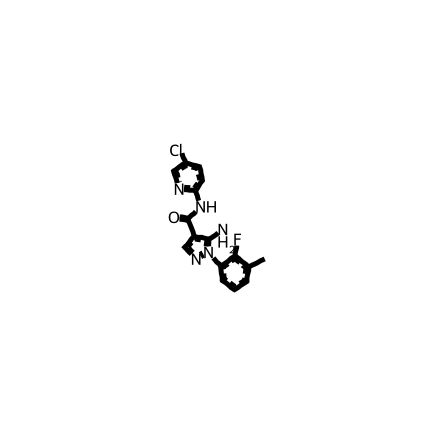 Cc1cccc(-n2ncc(C(=O)Nc3ccc(Cl)cn3)c2N)c1F